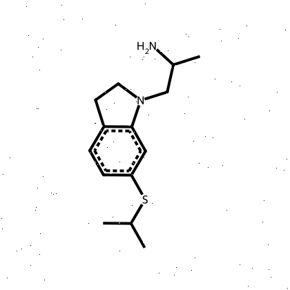 CC(N)CN1CCc2ccc(SC(C)C)cc21